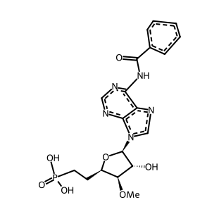 CO[C@@H]1[C@@H](O)[C@H](n2cnc3c(NC(=O)c4ccccc4)ncnc32)O[C@@H]1CCP(=O)(O)O